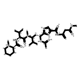 C=C(CC(=O)OC)NC(=O)c1csc([C@@H](CC(C(C)C)N(C)C(=O)[C@@H](NC(=O)[C@H]2CCCCN2C)C(C)C)OC(C)=O)n1